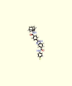 O=C(Nc1ccc(F)cc1)c1ccc2[nH]c(-c3ccc(C(=O)NC45CC6CC(CC(C6)C4)C5)cc3)nc2c1